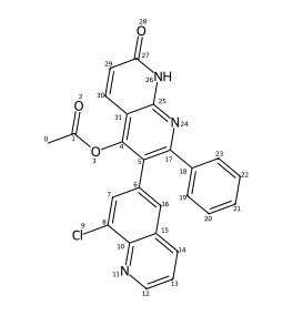 CC(=O)Oc1c(-c2cc(Cl)c3ncccc3c2)c(-c2ccccc2)nc2[nH]c(=O)ccc12